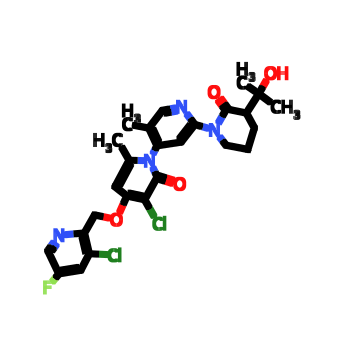 Cc1cnc(N2CCCC(C(C)(C)O)C2=O)cc1-n1c(C)cc(OCc2ncc(F)cc2Cl)c(Cl)c1=O